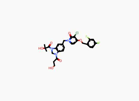 CC(C)(O)C(=O)N1CN(C(=O)CCO)c2ccc(Cn3ccc(OCc4ccc(F)cc4F)c(Cl)c3=O)cc21